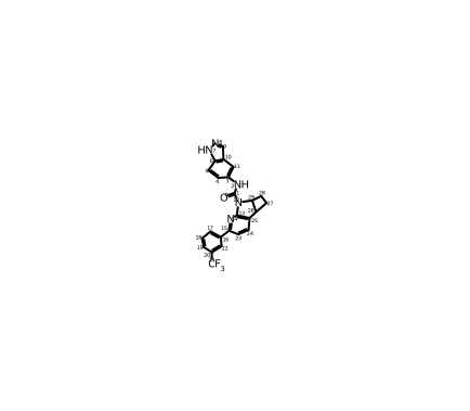 O=C(Nc1ccc2[nH]ncc2c1)N1c2nc(-c3cccc(C(F)(F)F)c3)ccc2C2CCC21